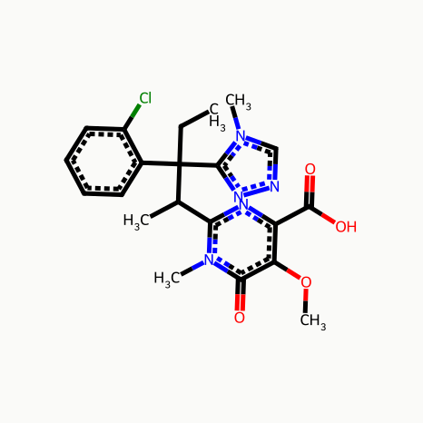 CCC(c1ccccc1Cl)(c1nncn1C)C(C)c1nc(C(=O)O)c(OC)c(=O)n1C